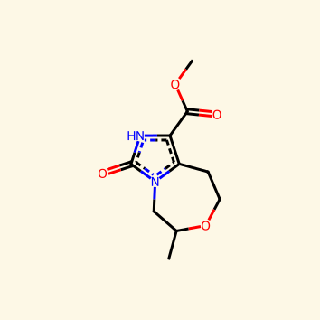 COC(=O)c1[nH]c(=O)n2c1CCOC(C)C2